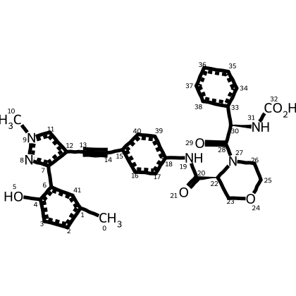 Cc1ccc(O)c(-c2nn(C)cc2C#Cc2ccc(NC(=O)[C@@H]3COCCN3C(=O)[C@H](NC(=O)O)c3ccccc3)cc2)c1